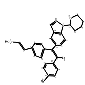 CC/C(=C(/c1ccc(/C=C/C(=O)O)cc1)c1ccc2c(cnn2C2CCCCO2)c1)c1ccc(Br)cc1